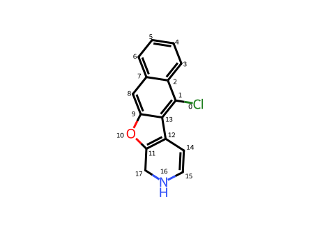 Clc1c2ccccc2cc2oc3c(c12)C=CNC3